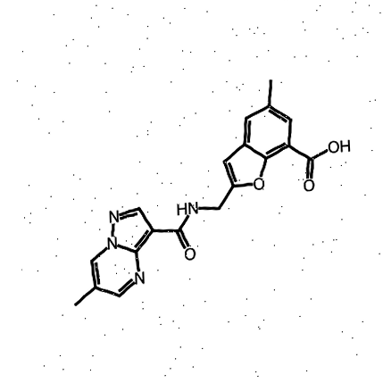 Cc1cc(C(=O)O)c2oc(CNC(=O)c3cnn4cc(C)cnc34)cc2c1